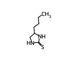 CCCCC1CNC(=S)N1